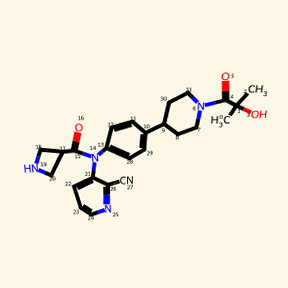 CC(C)(O)C(=O)N1CCC(c2ccc(N(C(=O)C3CNC3)c3cccnc3C#N)cc2)CC1